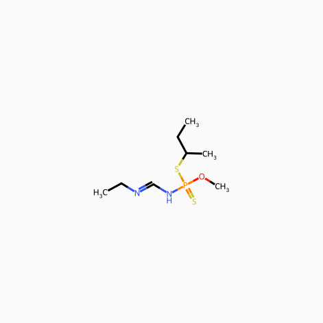 CCN=CNP(=S)(OC)SC(C)CC